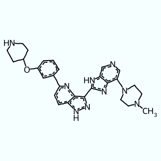 CN1CCN(c2cncc3[nH]c(-c4n[nH]c5ccc(-c6cccc(OC7CCNCC7)c6)nc45)nc23)CC1